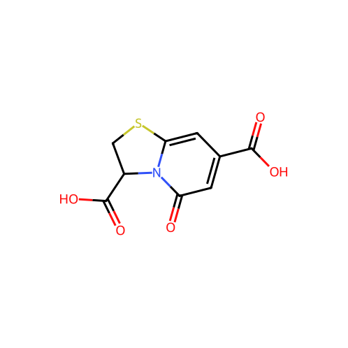 O=C(O)c1cc2n(c(=O)c1)C(C(=O)O)CS2